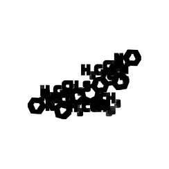 CC(C)(C)c1cc2c(cc1-c1cccc3c1sc1nc4ccccc4n13)C(C)(C)C(C)(C)c1cc(-c3cccc4c3sc3nc5ccccc5n34)c(C(C)(C)C)cc1S2